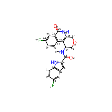 CN(C(=O)c1cc2cc(F)ccc2[nH]1)C1COCc2[nH]c(=O)c3cc(F)ccc3c21